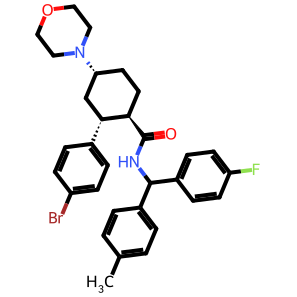 Cc1ccc(C(NC(=O)[C@@H]2CC[C@@H](N3CCOCC3)C[C@H]2c2ccc(Br)cc2)c2ccc(F)cc2)cc1